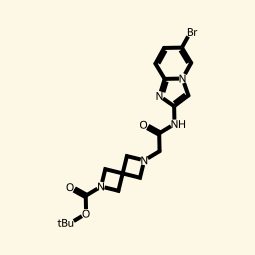 CC(C)(C)OC(=O)N1CC2(CN(CC(=O)Nc3cn4cc(Br)ccc4n3)C2)C1